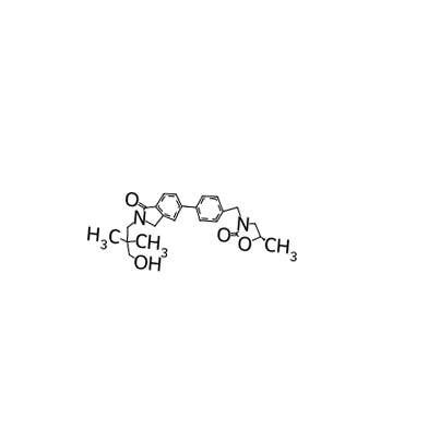 C[C@@H]1CN(Cc2ccc(-c3ccc4c(c3)CN(CC(C)(C)CO)C4=O)cc2)C(=O)O1